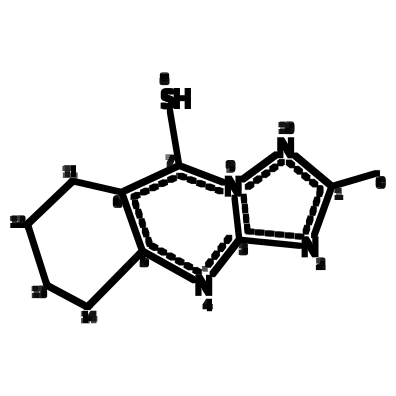 Cc1nc2nc3c(c(S)n2n1)CCCC3